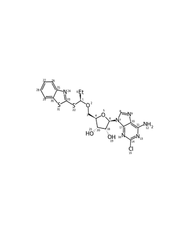 CC[C@@H](OC[C@H]1O[C@@H](n2cnc3c(N)nc(Cl)nc32)[C@H](O)[C@@H]1O)Sc1nc2ccccc2s1